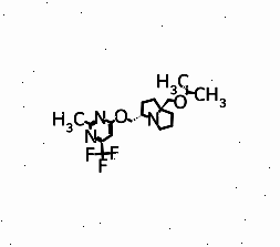 Cc1nc(OC[C@@H]2CC[C@]3(COC(C)C)CCCN23)cc(C(F)(F)F)n1